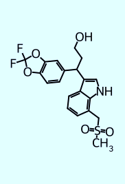 CS(=O)(=O)Cc1cccc2c(C(CCO)c3ccc4c(c3)OC(F)(F)O4)c[nH]c12